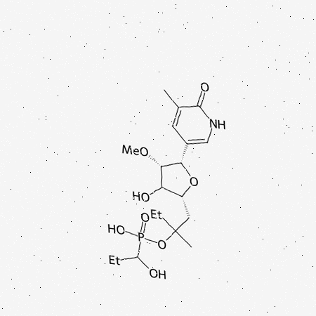 CCC(O)P(=O)(O)OC(C)(CC)C[C@H]1O[C@@H](c2c[nH]c(=O)c(C)c2)[C@@H](OC)C1O